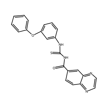 O=C(NC(=S)Nc1cccc(Oc2ccccc2)c1)c1ccc2nccnc2c1